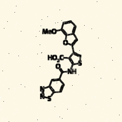 COc1cccc2cc(-c3csc(NC(=O)c4ccc5snnc5c4)c3C(=O)O)oc12